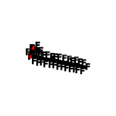 FC(F)(F)C(F)(F)C(F)(F)C(F)(F)C(F)(F)C(F)(F)C(F)(F)C(F)(F)C(F)(F)C(F)(F)C(F)(F)C(F)(F)C(F)(F)[Si](Cl)(C(F)(F)F)C(F)(F)F